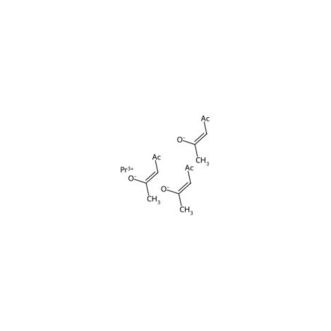 CC(=O)C=C(C)[O-].CC(=O)C=C(C)[O-].CC(=O)C=C(C)[O-].[Pr+3]